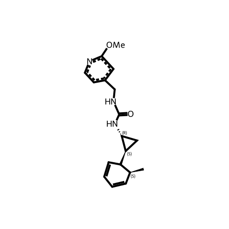 COc1cc(CNC(=O)N[C@@H]2C[C@H]2C2C=CC=C[C@@H]2C)ccn1